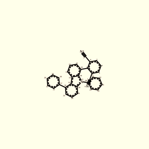 N#Cc1cccc(C#N)c1-c1cccc2c3c(-c4ccccc4)cccc3n(-c3ccccc3)c12